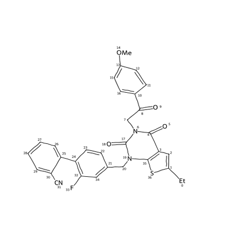 CCc1cc2c(=O)n(CC(=O)c3ccc(OC)cc3)c(=O)n(Cc3ccc(-c4ccccc4C#N)c(F)c3)c2s1